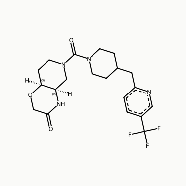 O=C1CO[C@H]2CCN(C(=O)N3CCC(Cc4ccc(C(F)(F)F)cn4)CC3)C[C@H]2N1